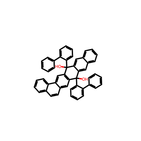 OC1(c2ccccc2-c2ccccc2)c2cc3ccccc3cc2C(O)(c2ccccc2-c2ccccc2)c2cc3c(ccc4ccccc43)cc21